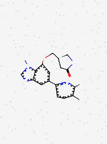 COc1ccc(-c2cc(O[C@H](C)[C@H]3CNC(=O)C3)c3c(c2)ncn3C)nc1OC